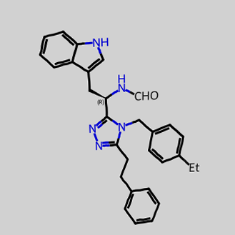 CCc1ccc(Cn2c(CCc3ccccc3)nnc2[C@@H](Cc2c[nH]c3ccccc23)NC=O)cc1